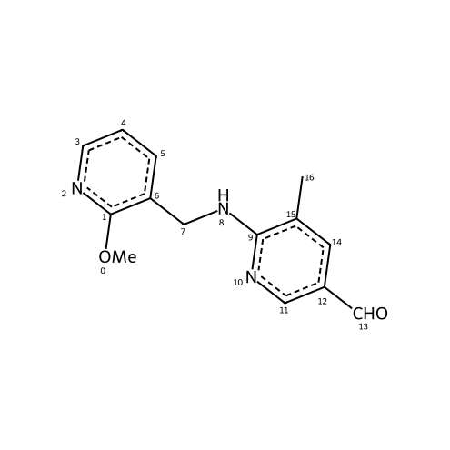 COc1ncccc1CNc1ncc(C=O)cc1C